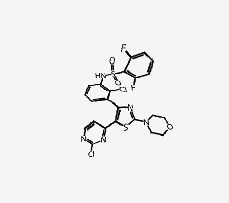 O=S(=O)(Nc1cccc(-c2nc(N3CCOCC3)sc2-c2ccnc(Cl)n2)c1Cl)c1c(F)cccc1F